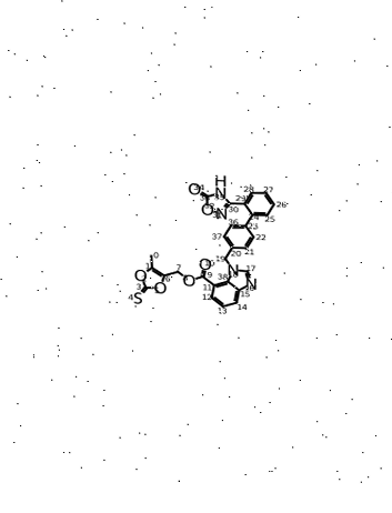 Cc1oc(=S)oc1COC(=O)c1cccc2ncn(Cc3ccc(-c4ccccc4-c4noc(=O)[nH]4)cc3)c12